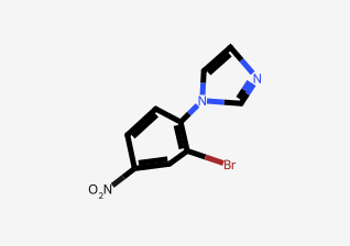 O=[N+]([O-])c1ccc(-n2ccnc2)c(Br)c1